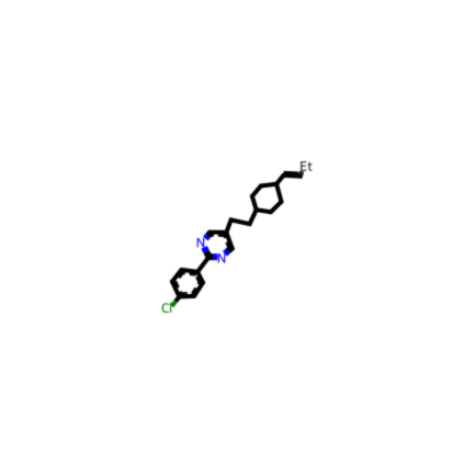 CCC=CC1CCC(CCc2cnc(-c3ccc(Cl)cc3)nc2)CC1